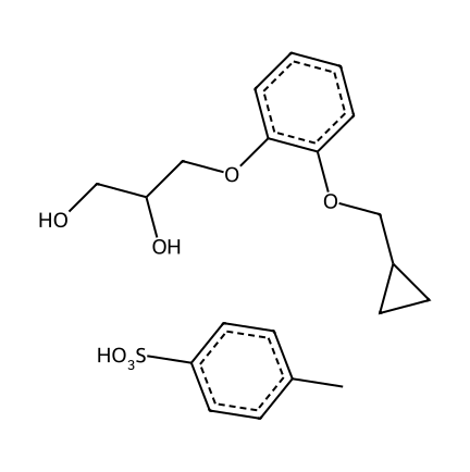 Cc1ccc(S(=O)(=O)O)cc1.OCC(O)COc1ccccc1OCC1CC1